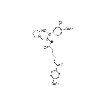 COc1ccc(C(=O)CCCCC(=O)N[C@H](CN2CCCC2)[C@H](O)c2ccc(OC)c(Cl)c2)cc1